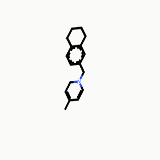 CC1=CCN(Cc2ccc3c(c2)CCC[CH]3)C=C1